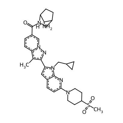 Cc1c(-c2cc3ccc(N4CCC(S(C)(=O)=O)CC4)nc3n2CC2CC2)nn2cc(C(=O)N3CC4CCC3[C@@H]4N)ccc12